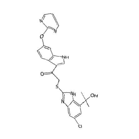 CC(C)(O)c1cc(Cl)cc2nc(SCC(=O)c3c[nH]c4cc(Oc5ncccn5)ccc34)[nH]c12